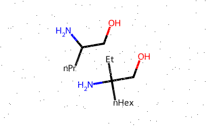 CCCC(N)CO.CCCCCCC(N)(CC)CO